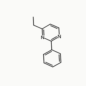 CCc1ccnc(-c2ccccc2)n1